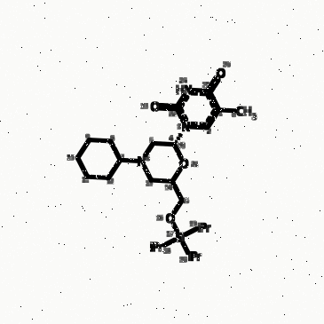 Cc1cn([C@H]2CN(C3CCCCC3)C[C](CO[Si](C(C)C)(C(C)C)C(C)C)O2)c(=O)[nH]c1=O